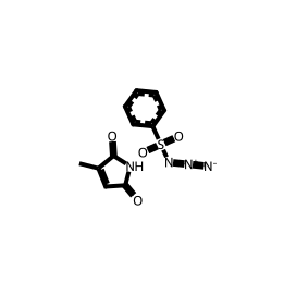 CC1=CC(=O)NC1=O.[N-]=[N+]=NS(=O)(=O)c1ccccc1